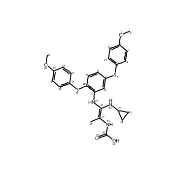 COc1ccc(Sc2ccc(Sc3ccc(OC)cc3)c(N/C(NC3CC3)=C(\C)NC(=O)O)c2)cc1